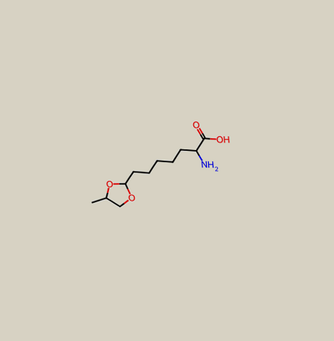 CC1COC(CCCCCC(N)C(=O)O)O1